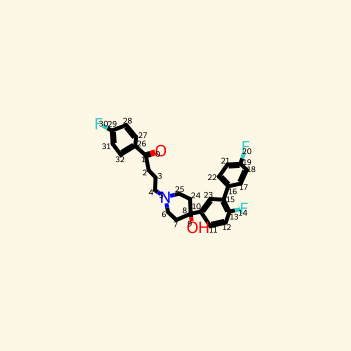 O=C(CCCN1CCC(O)(c2ccc(F)c(-c3ccc(F)cc3)c2)CC1)c1ccc(F)cc1